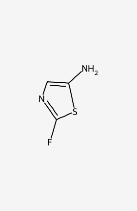 Nc1cnc(F)s1